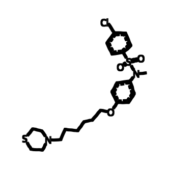 CN(c1ccc(OCCCCCCN2CCSCC2)cc1)S(=O)(=O)c1ccc(Cl)cc1